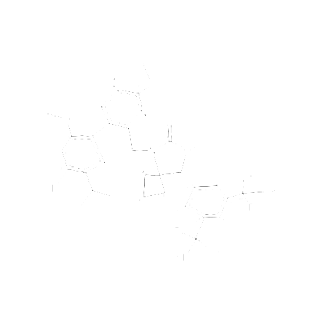 COc1cc(F)c(C(C)C)cc1-c1cnc(SC)nc1CN1C(=O)OC(c2cc(C(F)(F)F)cc(C(F)(F)F)c2)C12CCC2